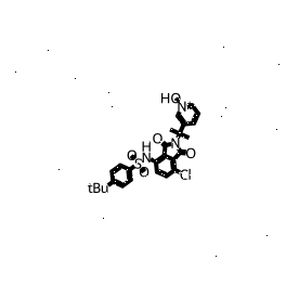 CC(C)(C)c1ccc(S(=O)(=O)Nc2ccc(Cl)c3c2C(=O)N(C(C)(C)c2ccc[n+](O)c2)C3=O)cc1